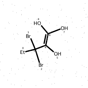 CCC(Br)(Br)C(O)=C(O)O